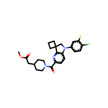 COC(=O)CC1CCN(C(=O)c2ccc3c(n2)C2(CCC2)CN3c2ccc(Cl)c(F)c2)CC1